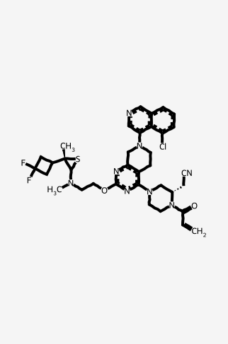 C=CC(=O)N1CCN(c2nc(OCCN(C)C3S[C@@]3(C)C3CC(F)(F)C3)nc3c2CCN(c2cncc4cccc(Cl)c24)C3)C[C@@H]1CC#N